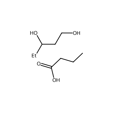 CCC(O)CCO.CCCC(=O)O